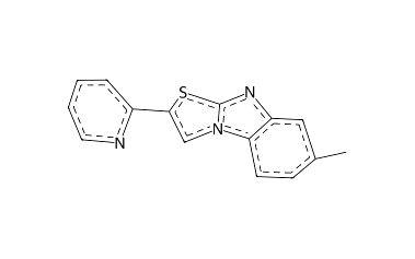 Cc1ccc2c(c1)nc1sc(-c3ccccn3)cn12